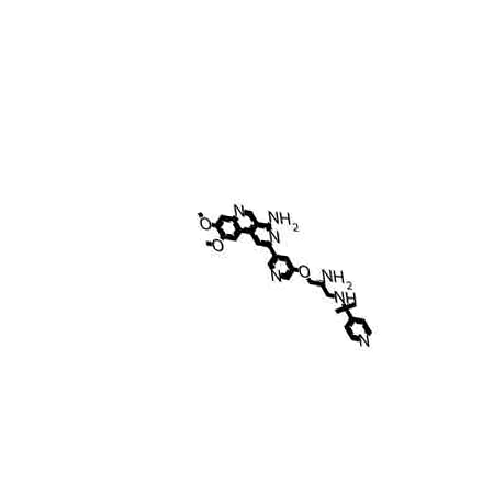 COc1cc2ncc3c(N)nc(-c4cncc(OC[C@@H](N)CNC(C)(C)c5ccncc5)c4)cc3c2cc1OC